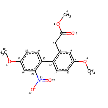 COC(=O)Cc1cc(OC)ccc1-c1ccc(OC)cc1[N+](=O)[O-]